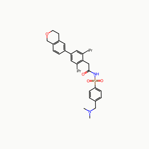 CC(C)c1cc(-c2ccc3c(c2)CCOC3)cc(C(C)C)c1CC(=O)NS(=O)(=O)c1ccc(CN(C)C)cc1